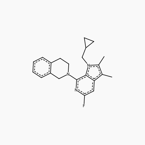 Cc1c(C)n(CC2CC2)c2c(N3CCc4ccccc4C3)nc(F)cc12